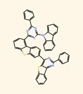 c1ccc(-c2nc(-c3cccc4sc5cc(-c6nc(-c7ccccc7)nc7c6sc6ccccc67)ccc5c34)nc(-n3c4ccccc4c4ccccc43)n2)cc1